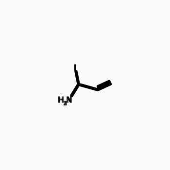 C=CC(N)I